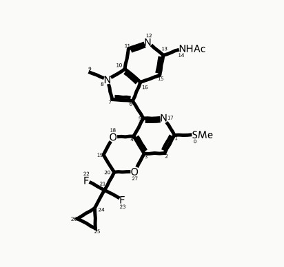 CSc1cc2c(c(-c3cn(C)c4cnc(NC(C)=O)cc34)n1)OCC(C(F)(F)C1CC1)O2